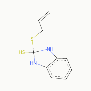 C=CCSC1(S)Nc2ccccc2N1